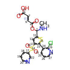 CNC(OC(=O)/C=C/C(=O)O)c1cc(S(=O)(=O)c2cccnc2)c(-c2cccnc2Cl)s1